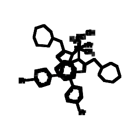 CC[CH2][Zr]([CH3])(=[SiH2])([CH]1C(CC2CCCCCC2)=Cc2c(-c3ccc(C(C)C)cc3)cccc21)[CH]1C(CC2CCCCCC2)=Cc2c(-c3ccc(C(C)C)cc3)cccc21.Cl.Cl